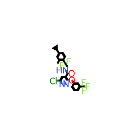 Cc1cc(C2CC2)ccc1C(F)(F)CNC(=O)c1cc(Cl)nnc1Oc1cccc(C(F)(F)F)c1